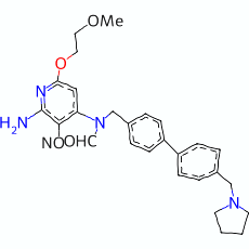 COCCOc1cc(N(C=O)Cc2ccc(-c3ccc(CN4CCCC4)cc3)cc2)c(N=O)c(N)n1